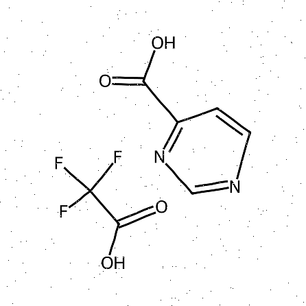 O=C(O)C(F)(F)F.O=C(O)c1ccncn1